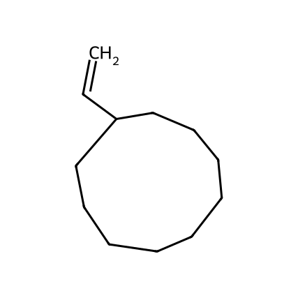 C=CC1CCCCCCCCC1